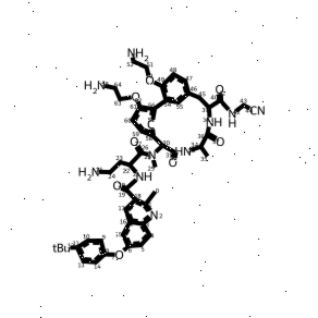 Cc1nc2ccc(Oc3ccc(C(C)(C)C)cc3)cc2cc1C(=O)NC(CCN)C(=O)N(C)C1C(=O)NC(C)C(=O)NC(C(=O)NCC#N)Cc2ccc(OCCN)c(c2)-c2cc1ccc2OCCN